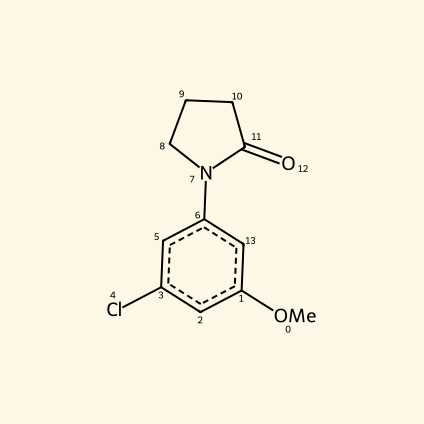 COc1cc(Cl)cc(N2CCCC2=O)c1